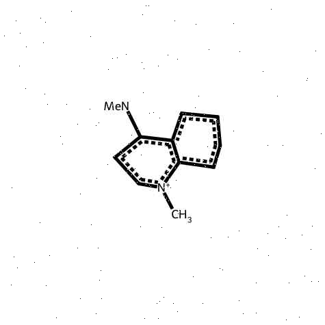 CNc1cc[n+](C)c2ccccc12